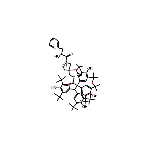 CC(C)(C)c1cc(C(c2cc(C(C)(C)C)c(O)c(C(C)(C)C)c2)C(C(=O)OCC(CO)(CO)COC(=O)C(O)Cc2ccccc2)(c2cc(C(C)(C)C)c(O)c(C(C)(C)C)c2)c2cc(C(C)(C)C)c(O)c(C(C)(C)C)c2)cc(C(C)(C)C)c1O